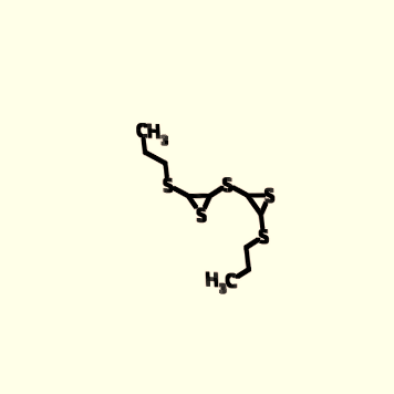 CCCSC1SC1SC1SC1SCCC